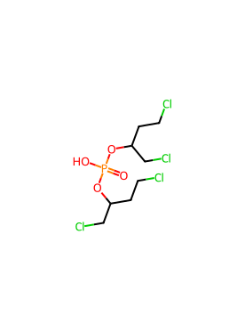 O=P(O)(OC(CCl)CCCl)OC(CCl)CCCl